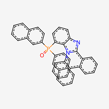 O=P(c1ccc2ccccc2c1)(c1ccc2ccccc2c1)c1cccc2nc3c4ccccc4c4ccccc4n3c12